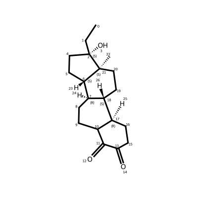 CC[C@]1(O)CC[C@H]2[C@@H]3CCC4C(=O)C(=O)CC[C@@H]4[C@H]3CC[C@@]21C